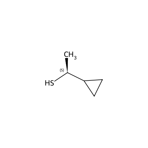 C[C@H](S)C1CC1